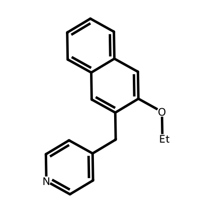 CCOc1cc2ccccc2cc1Cc1ccncc1